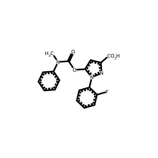 CN(C(=O)Oc1cc(C(=O)O)nn1-c1ccccc1F)c1ccccc1